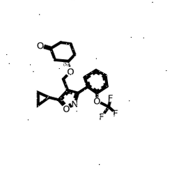 O=C1CCC[C@H](OCc2c(-c3ccccc3OC(F)(F)F)noc2C2CC2)C1